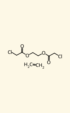 C=C.O=C(CCl)OCCOC(=O)CCl